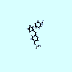 CNCc1ccc(Cc2nccn2-c2ccc(C)cc2)cc1